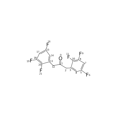 O=C(Cc1cc(F)cc(F)c1F)Cc1cc(F)cc(F)c1F